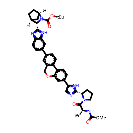 COC(=O)N[C@H](C(=O)N1CCC[C@H]1c1ncc(-c2ccc3c(c2)OCc2cc(-c4ccc5nc([C@@H]6[C@H]7CC[C@H](C7)N6C(=O)OC(C)(C)C)[nH]c5c4)ccc2-3)[nH]1)C(C)C